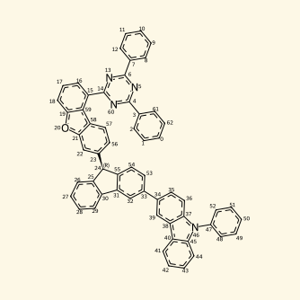 c1ccc(-c2nc(-c3ccccc3)nc(-c3cccc4oc5cc([C@@H]6c7ccccc7-c7cc(-c8ccc9c(c8)c8ccccc8n9-c8ccccc8)ccc76)ccc5c34)n2)cc1